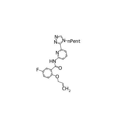 C=CCOc1ccc(F)cc1C(=O)Nc1cccc(-c2nncn2CCCCC)n1